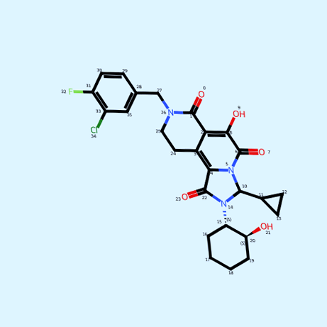 O=C1c2c(c3n(c(=O)c2O)C(C2CC2)N([C@H]2CCCC[C@@H]2O)C3=O)CCN1Cc1ccc(F)c(Cl)c1